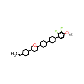 C=CC1CCC(C2CCC(C3CCC(C4CCC(c5ccc(OCC)c(F)c5F)CC4)CC3)OC2)CC1